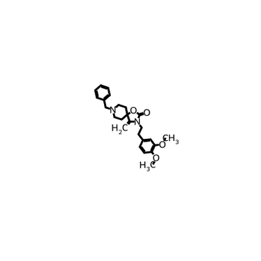 C=C1N(CCc2ccc(OC)c(OC)c2)C(=O)OC12CCN(Cc1ccccc1)CC2